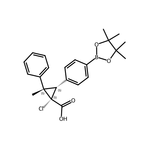 CC1(C)OB(c2ccc([C@@H]3[C@@](Cl)(C(=O)O)[C@]3(C)c3ccccc3)cc2)OC1(C)C